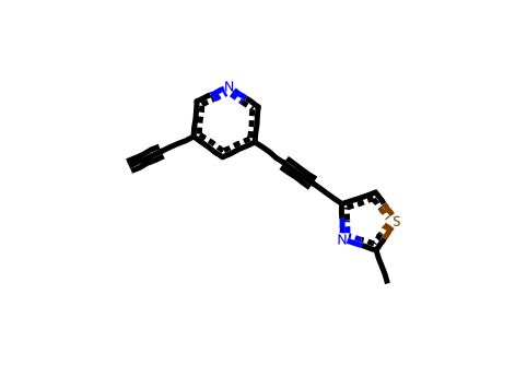 C#Cc1cncc(C#Cc2csc(C)n2)c1